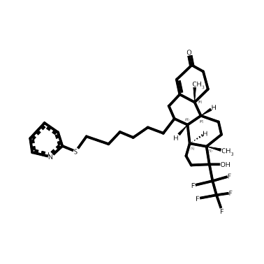 C[C@]12CCC(=O)C=C1CC(CCCCCCSc1ccccn1)[C@@H]1[C@H]2CC[C@@]2(C)[C@H]1CCC2(O)C(F)(F)C(F)(F)F